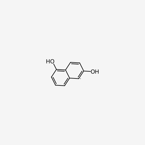 Oc1[c]c2cccc(O)c2cc1